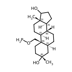 C[C@@]1(O)CC[C@@]2(COP)[C@@H](CC[C@@H]3[C@@H]2CC[C@]2(C)C(O)CC[C@@H]32)C1